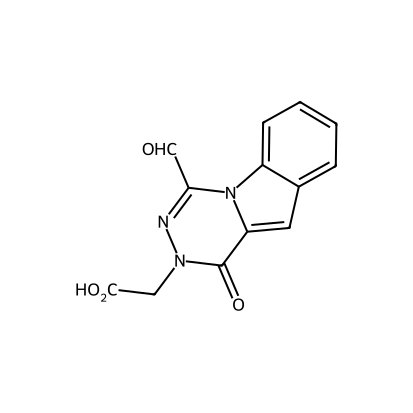 O=Cc1nn(CC(=O)O)c(=O)c2cc3ccccc3n12